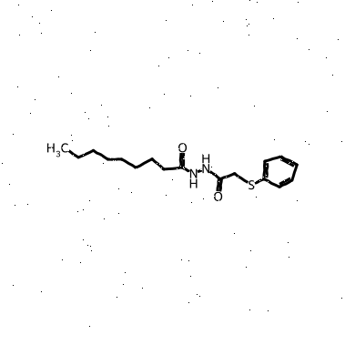 CCCCCCCCC(=O)NNC(=O)CSc1ccccc1